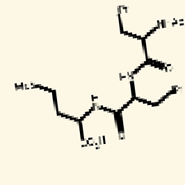 CSCCC(NC(=O)C(CC(C)C)NC(=O)C(CC(C)C)NC(C)=O)C(=O)O